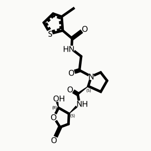 Cc1ccsc1C(=O)NCC(=O)N1CCC[C@H]1C(=O)N[C@H]1CC(=O)O[C@H]1O